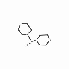 SN(N1CCOCC1)N1CCOCC1